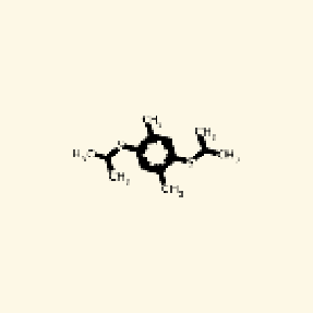 Cc1cc(SC(C)C)c(C)cc1SC(C)C